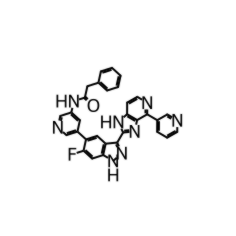 O=C(Cc1ccccc1)Nc1cncc(-c2cc3c(-c4nc5c(-c6cccnc6)nccc5[nH]4)n[nH]c3cc2F)c1